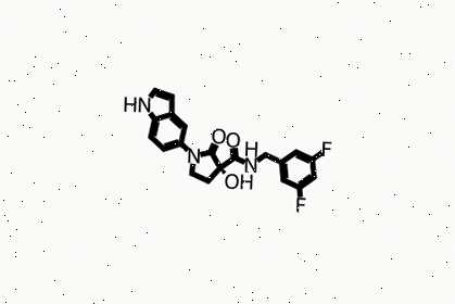 O=C(NCc1cc(F)cc(F)c1)[C@]1(O)CCN(c2ccc3[nH]ccc3c2)C1=O